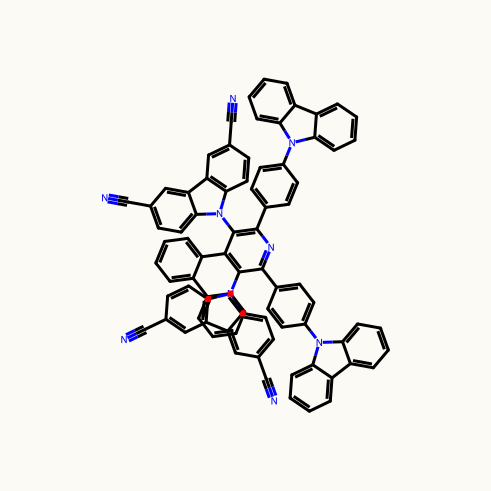 N#Cc1ccc2c(c1)c1cc(C#N)ccc1n2-c1c(-c2ccc(-n3c4ccccc4c4ccccc43)cc2)nc(-c2ccc(-n3c4ccccc4c4ccccc43)cc2)c(-n2c3ccc(C#N)cc3c3cc(C#N)ccc32)c1-c1ccccc1-c1ccccc1